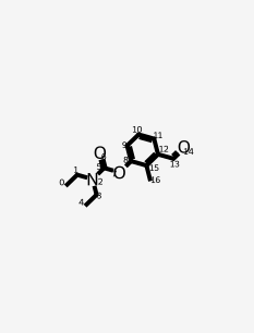 CCN(CC)C(=O)Oc1cccc(C=O)c1C